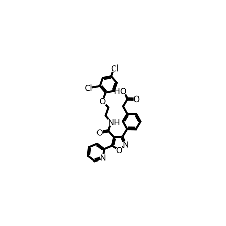 O=C(O)Cc1cccc(-c2noc(-c3ccccn3)c2C(=O)NCCOc2ccc(Cl)cc2Cl)c1